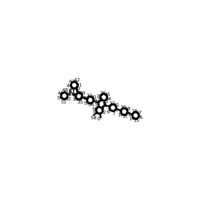 Cc1cc2c(-c3ccc(-c4ccc(-c5ccccc5)cc4)cc3)c3ccccc3c(-c3ccc(-c4ccc5c(c4)c4ccccc4n5-c4ccccc4)cc3)c2cc1C